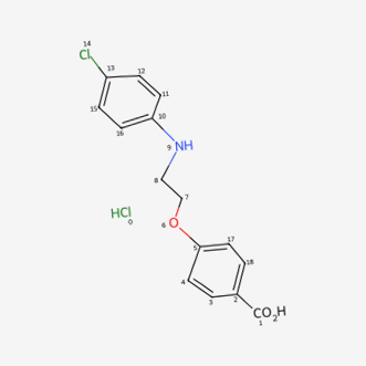 Cl.O=C(O)c1ccc(OCCNc2ccc(Cl)cc2)cc1